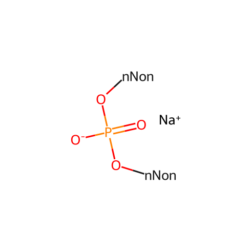 CCCCCCCCCOP(=O)([O-])OCCCCCCCCC.[Na+]